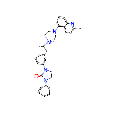 Cc1ccc2c(N3CCN(C(C)Cc4cccc(N5CCN(c6ccccc6)C5=O)c4)CC3)cccc2n1